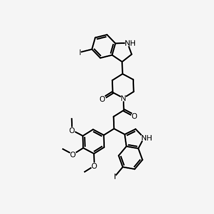 COc1cc(C(CC(=O)N2CCC(C3CNc4ccc(I)cc43)CC2=O)c2c[nH]c3ccc(I)cc23)cc(OC)c1OC